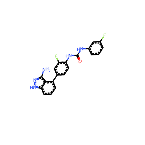 Nc1n[nH]c2cccc(-c3ccc(NC(=O)Nc4cccc(F)c4)c(F)c3)c12